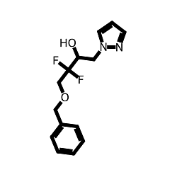 OC(Cn1cccn1)C(F)(F)COCc1ccccc1